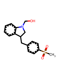 CS(=O)(=O)c1ccc(CC2CN(CO)c3ccccc32)cc1